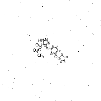 O=C(OC(=O)C(F)(F)F)c1[nH]nnc1Sc1cccc(OC2CCCC2)c1